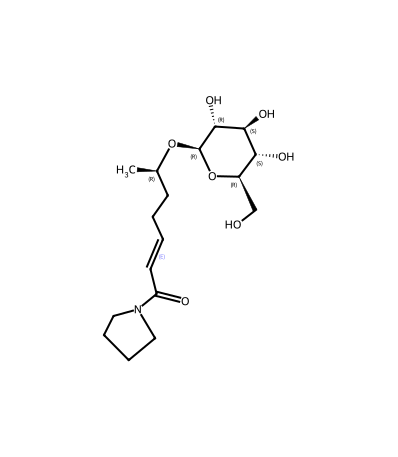 C[C@H](CC/C=C/C(=O)N1CCCC1)O[C@@H]1O[C@H](CO)[C@@H](O)[C@H](O)[C@H]1O